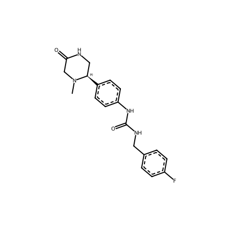 CN1CC(=O)NC[C@H]1c1ccc(NC(=O)NCc2ccc(F)cc2)cc1